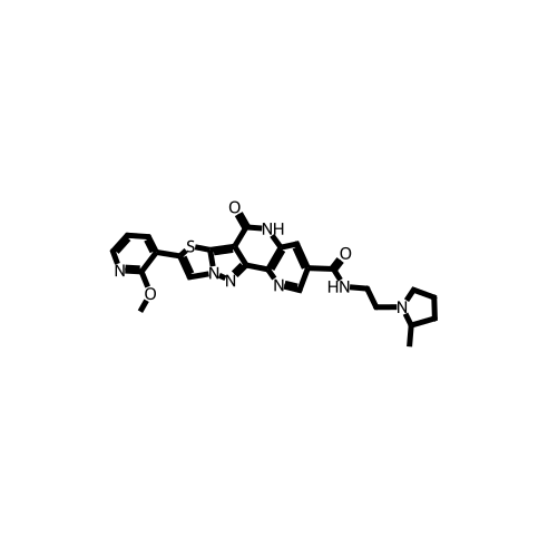 COc1ncccc1-c1cn2nc3c4ncc(C(=O)NCCN5CCCC5C)cc4[nH]c(=O)c3c2s1